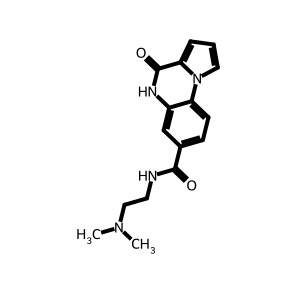 CN(C)CCNC(=O)c1ccc2c(c1)[nH]c(=O)c1cccn12